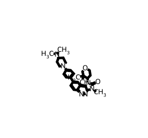 CN(C)C1CCN(c2ccc(-c3ccc4nnc5c(c4c3)n(C3CCOCC3(C)C)c(=O)n5C)cc2)CC1